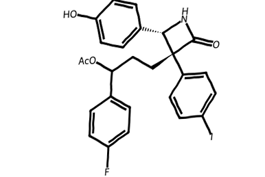 CC(=O)OC(CC[C@]1(c2ccc(I)cc2)C(=O)N[C@H]1c1ccc(O)cc1)c1ccc(F)cc1